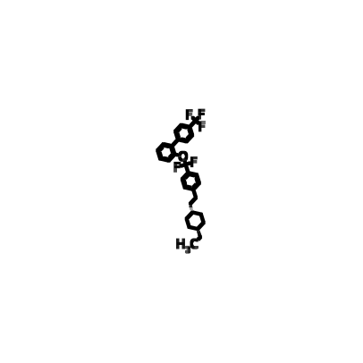 CC[C@H]1CC[C@H](CCc2ccc(C(F)(F)Oc3ccccc3-c3ccc(C(F)(F)F)cc3)cc2)CC1